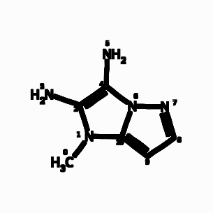 Cn1c(N)c(N)n2nccc12